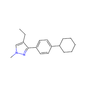 CCc1cn(C)nc1-c1ccc(C2CC[CH]CC2)cc1